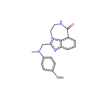 COc1ccc(N(C)Cc2nc3cccc4c3n2CCNC4=O)cc1